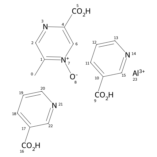 Cc1cnc(C(=O)O)c[n+]1[O-].O=C(O)c1cccnc1.O=C(O)c1cccnc1.[Al+3]